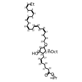 CC/C=C\C/C=C\C/C=C\C/C=C\C/C=C\C/C=C\CCCO[C@@H]1C[C@H](O)[C@H](C/C=C\CCCC(=O)OC(C)C)[C@H]1CCCCCCCC